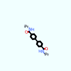 CC(C)NC(=O)c1ccc(-c2ccc(C(=O)NC(C)C)cc2)cc1